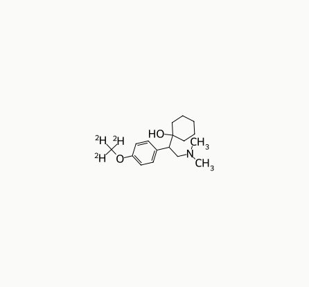 [2H]C([2H])([2H])Oc1ccc(C(CN(C)C)C2(O)CCCCC2)cc1